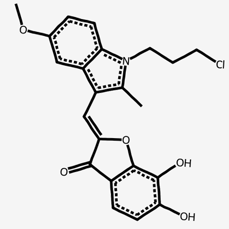 COc1ccc2c(c1)c(C=C1Oc3c(ccc(O)c3O)C1=O)c(C)n2CCCCl